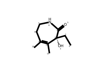 CC[C@]1(O)C(=O)NCCC(C)=C1C